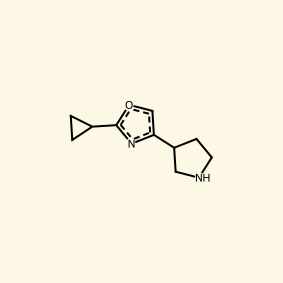 c1oc(C2CC2)nc1C1CCNC1